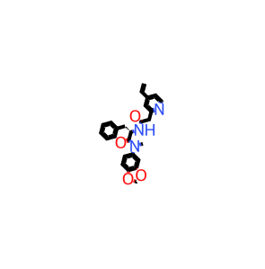 C=Cc1ccnc(CC(=O)N[C@@H](Cc2ccccc2)C(=O)N(C)c2ccc3c(c2)OCO3)c1